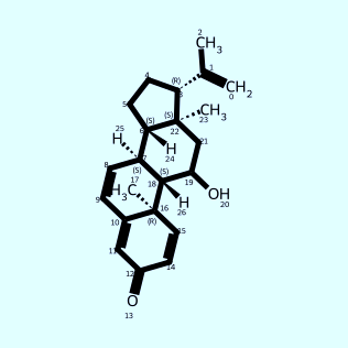 C=C(C)[C@H]1CC[C@H]2[C@@H]3C=CC4=CC(=O)C=C[C@]4(C)[C@H]3C(O)C[C@]12C